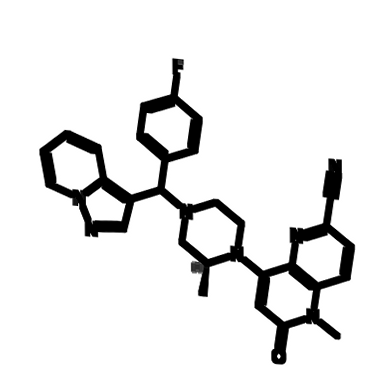 C[C@H]1CN(C(c2ccc(F)cc2)c2cnn3ccccc23)CCN1c1cc(=O)n(C)c2ccc(C#N)nc12